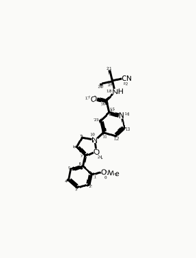 COc1ccccc1C1=CCN(c2ccnc(C(=O)NC(C)(C)C#N)c2)O1